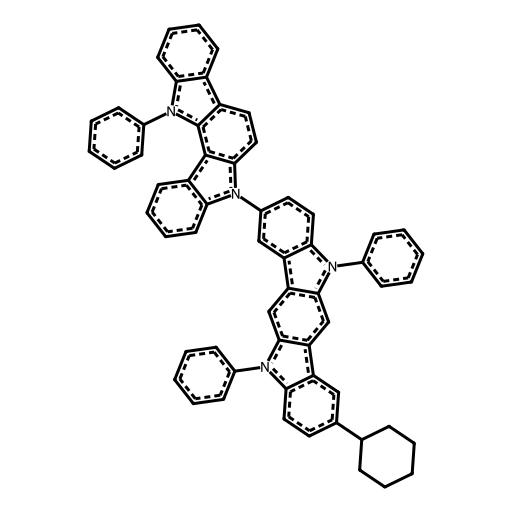 c1ccc(-n2c3ccc(C4CCCCC4)cc3c3cc4c(cc32)c2cc(-n3c5ccccc5c5c3ccc3c6ccccc6n(-c6ccccc6)c35)ccc2n4-c2ccccc2)cc1